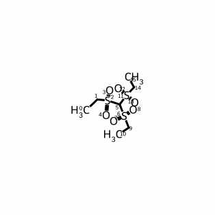 CCS(=O)(=O)C(S(=O)(=O)CC)S(=O)(=O)CC